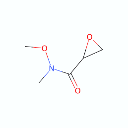 CON(C)C(=O)C1CO1